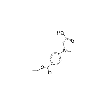 CCOC(=O)c1ccc(N(C)CC(=O)O)cc1